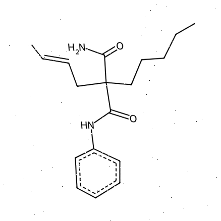 CC=CCC(CCCCC)(C(N)=O)C(=O)Nc1ccccc1